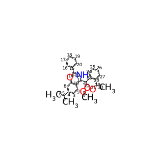 COc1cc(C(C)C)ccc1C(NC(=O)c1ccccc1)C(=O)c1ccccc1C(C)=O